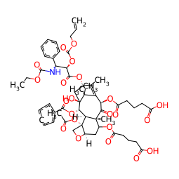 C=CCOC(=O)O[C@@H](C(=O)O[C@H]1C[C@@]2(O)[C@@H](OC(=O)c3ccccc3)[C@@H]3[C@]4(OC(C)=O)CO[C@@H]4CC(OC(=O)CCCC(=O)O)[C@@]3(C)C(=O)[C@H](OC(=O)CCCC(=O)O)C(=C1C)C2(C)C)[C@@H](NC(=O)OCC)c1ccccc1